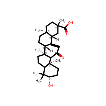 CC1(C)C2CC[C@]3(C)C(C(=O)C=C4[C@H]5C[C@@](C)(C(=O)O)CC[C@]5(C)CC[C@]43C)[C@@]2(C)CC[C@@H]1O